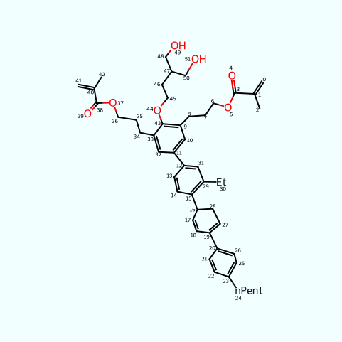 C=C(C)C(=O)OCCCc1cc(-c2ccc(C3C=CC(c4ccc(CCCCC)cc4)=CC3)c(CC)c2)cc(CCCOC(=O)C(=C)C)c1OCCC(CO)CO